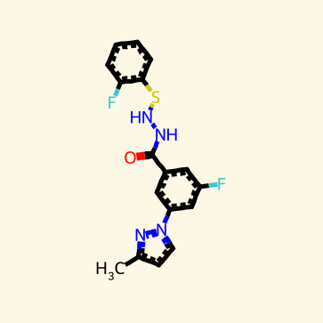 Cc1ccn(-c2cc(F)cc(C(=O)NNSc3ccccc3F)c2)n1